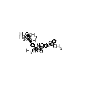 C[C@H](CC(=O)N1CCC(O)(Cn2cnc3c(-c4ccc(CNC(=O)OC(C)(C)C)cc4)n(C)nc3c2=O)CC1)c1ccccc1